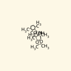 CC1=CC2(CC(C)(C)C1(O)C=Cc1c(C)ccc(C)c1C(=O)O)OC(C)C(C)O2